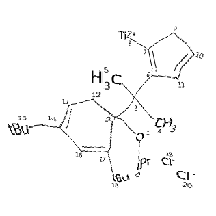 CC(C)OC1(C(C)(C)C2=[C]([Ti+2])CC=C2)CC=C(C(C)(C)C)C=C1C(C)(C)C.[Cl-].[Cl-]